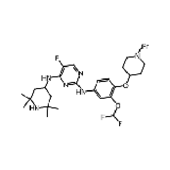 CC(C)N1CCC(Oc2ccc(Nc3ncc(F)c(NC4CC(C)(C)NC(C)(C)C4)n3)cc2OC(F)F)CC1